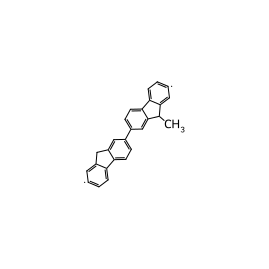 CC1c2c[c]ccc2-c2ccc(-c3ccc4c(c3)Cc3c[c]ccc3-4)cc21